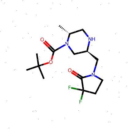 C[C@@H]1CN[C@@H](CN2CCC(F)(F)C2=O)CN1C(=O)OC(C)(C)C